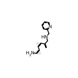 C=C(/C=C\C=C/N)CNCc1ccccn1